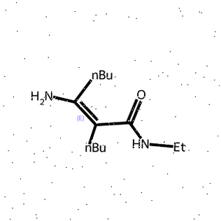 CCCC/C(N)=C(/CCCC)C(=O)NCC